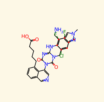 Cn1cc2c(CN)c(Nc3nc(=O)n(-c4cncc5cccc(CCCCC(=O)O)c45)c(=O)n3Cc3cc(F)c(F)c(F)c3)c(Cl)cc2n1